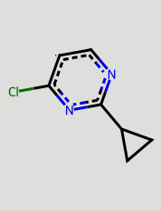 Clc1[c]cnc(C2CC2)n1